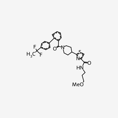 COCCCNC(=O)c1csc(C2CCN(C(=O)c3ccccc3-c3ccc(C(C)(F)F)cc3)CC2)n1